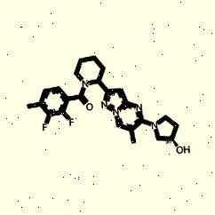 Cc1cn2nc(C3CCCCN3C(=O)c3ccc(C)c(F)c3F)cc2nc1N1CC[C@@H](O)C1